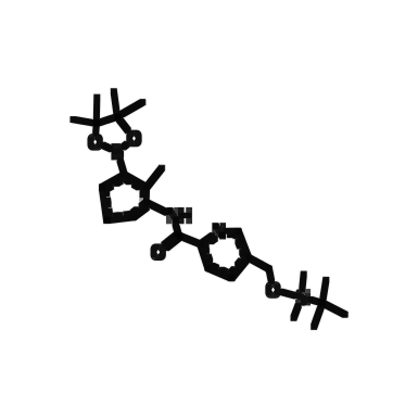 Cc1c(NC(=O)c2ccc(CO[Si](C)(C)C(C)(C)C)cn2)cccc1B1OC(C)(C)C(C)(C)O1